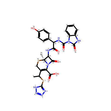 CC(Sc1nnn[nH]1)C1=C(C(=O)O)N2C(=O)C(NC(=O)C(NC(=O)n3c(=O)[nH]c4ccccc43)c3ccc(O)cc3)[C@@H]2SC1